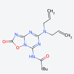 C=CCN(CC=C)c1nc(NC(=O)C(C)(C)C)n2oc(=O)nc2n1